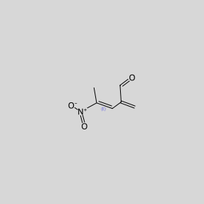 C=C(C=O)/C=C(\C)[N+](=O)[O-]